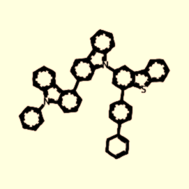 C1=CCCC(c2ccc(-c3cc(-n4c5ccccc5c5ccc(-c6cccc7c6c6ccccc6n7-c6ccccc6)cc54)cc4c3sc3ccccc34)cc2)=C1